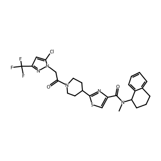 CN(C(=O)c1csc(C2CCN(C(=O)Cn3nc(C(F)(F)F)cc3Cl)CC2)n1)C1CCCc2ccccc21